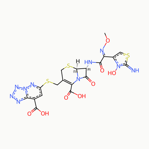 CON=C(C(=O)N[C@@H]1C(=O)N2C(C(=O)O)=C(CSc3cc(C(=O)O)c4nnnn4n3)CS[C@@H]12)c1csc(=N)n1O